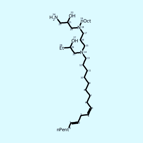 CCCCC/C=C/C/C=C\CCCCCCCCN(CCCN(CCCCCCCC)CC(O)CN)CC(O)CC